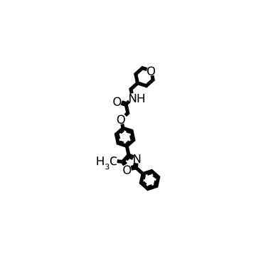 Cc1oc(-c2ccccc2)nc1-c1ccc(OCC(=O)NCC2CCOCC2)cc1